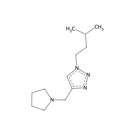 CC(C)CCn1cc(CN2CCCC2)nn1